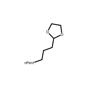 CC[CH]CCCCCC1OCCO1